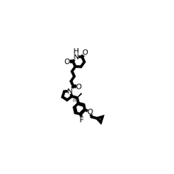 C[C@@H](c1ccc(F)c(OCC2CC2)c1)C1CCCN1C(=O)CCCC1CCC(=O)NC1=O